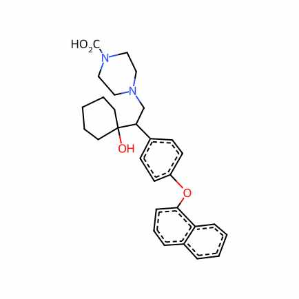 O=C(O)N1CCN(CC(c2ccc(Oc3cccc4ccccc34)cc2)C2(O)CCCCC2)CC1